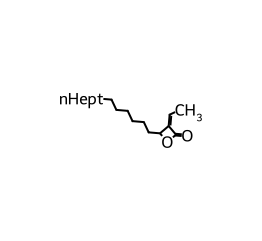 C/C=C1\C(=O)OC1CCCCCCCCCCCCC